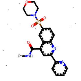 CC(C)NC(=O)c1cc(-c2ccccn2)nc2ccc(S(=O)(=O)N3CCOCC3)cc12